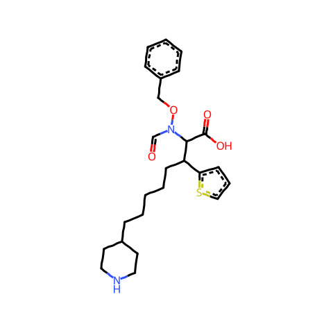 O=CN(OCc1ccccc1)C(C(=O)O)C(CCCCCC1CCNCC1)c1cccs1